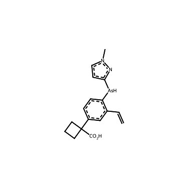 C=Cc1cc(C2(C(=O)O)CCC2)ccc1[AsH]c1ccn(C)n1